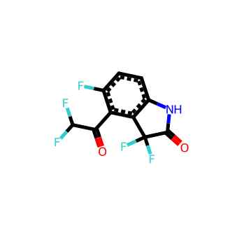 O=C(c1c(F)ccc2c1C(F)(F)C(=O)N2)C(F)F